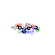 COc1cc(C(=O)Nc2cc(C(F)(F)F)ccn2)ccc1-c1nc(C2CCC(C)(C(=O)O)CC2)n2c(Cl)cnc(N)c12